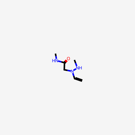 C=CN(CC(=O)NC)NC